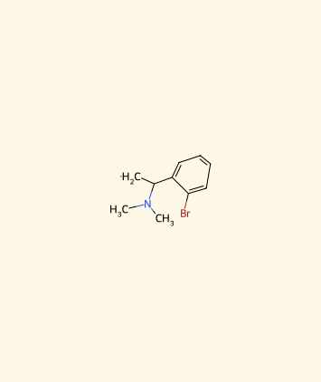 [CH2]C(c1ccccc1Br)N(C)C